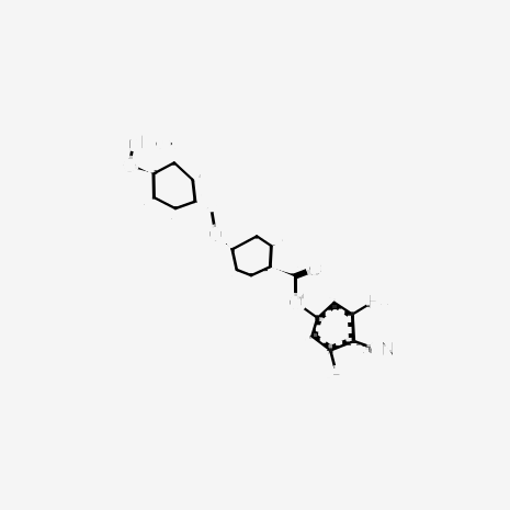 CCCCCCO[C@H]1CC[C@H](CO[C@H]2CC[C@H](C(=O)Oc3cc(F)c(C#N)c(F)c3)CC2)CC1